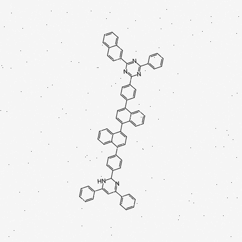 C1=C(c2ccccc2)NC(c2ccc(-c3ccc(-c4ccc(-c5ccc(-c6nc(-c7ccccc7)nc(-c7ccc8ccccc8c7)n6)cc5)c5ccccc45)c4ccccc34)cc2)N=C1c1ccccc1